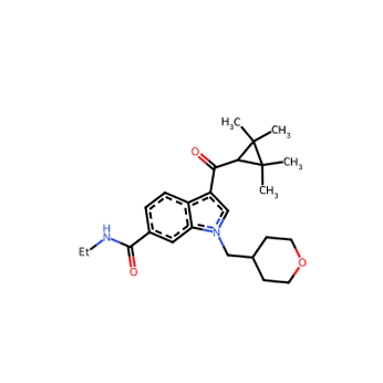 CCNC(=O)c1ccc2c(C(=O)C3C(C)(C)C3(C)C)cn(CC3CCOCC3)c2c1